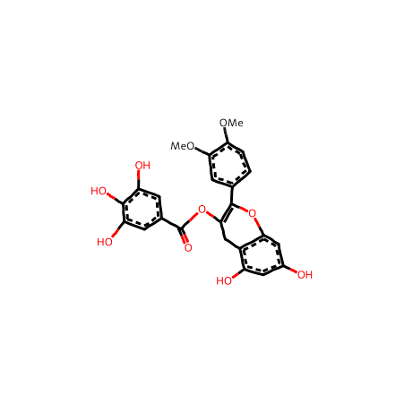 COc1ccc(C2=C(OC(=O)c3cc(O)c(O)c(O)c3)Cc3c(O)cc(O)cc3O2)cc1OC